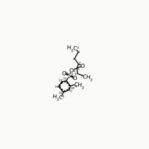 CCCC1OC1(CC)OS(=O)(=O)c1ccc(C)cc1C